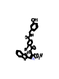 O=C(O)/C(=C/c1nc2ccccc2s1)NC(=O)c1ccc(C(=O)NCc2cccc(O)c2)cc1Br